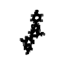 Cc1cn2nc(-c3cc(F)c4nc(C5CCN(C)CC5)oc4c3)cc(C)c2n1